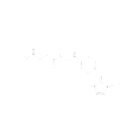 NC(=O)CCC(=O)NOC(=O)C1CCC(CN2C(=O)C=CC2=O)CC1